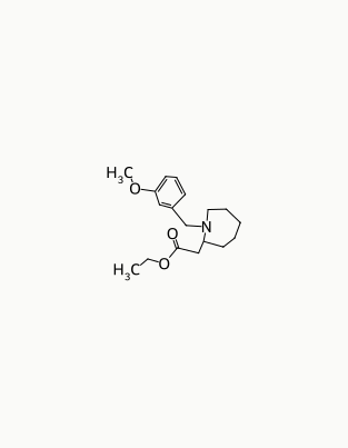 CCOC(=O)CC1CCCCCN1Cc1cccc(OC)c1